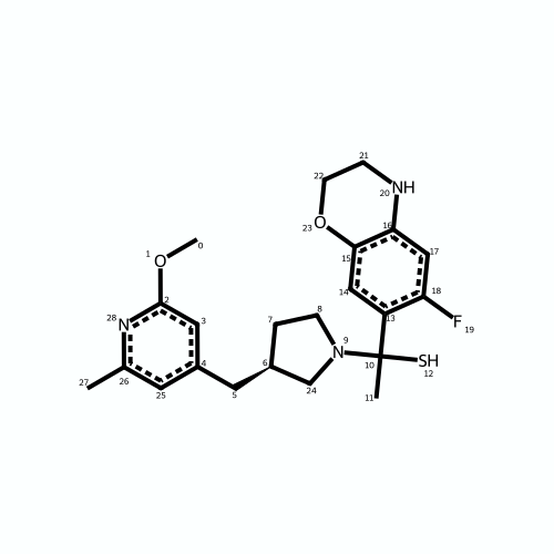 COc1cc(C[C@H]2CCN(C(C)(S)c3cc4c(cc3F)NCCO4)C2)cc(C)n1